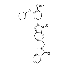 COc1ccc(N2C=C3CC=C(Cn4sc5ccccc5c4=O)C=C3C2=O)cc1OC1CCCC1